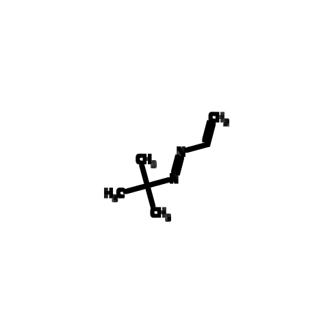 C=CN=NC(C)(C)C